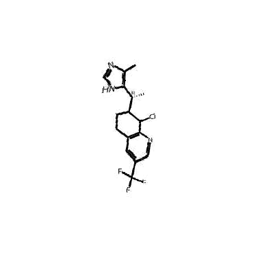 Cc1nc[nH]c1[C@H](C)C1CCc2cc(C(F)(F)F)cnc2C1Cl